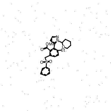 CCc1ccc(CS(=O)(=O)c2ccccc2)c(C(=O)OC)c1-c1ccnn1C1CCCCO1